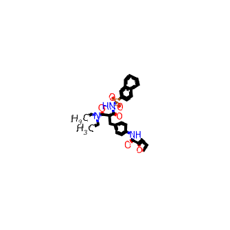 CCN(CC)C(=O)C(Cc1ccc(NC(=O)c2ccco2)cc1)C(=O)NS(=O)(=O)c1ccc2ccccc2c1